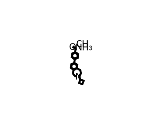 CNC(=O)c1ccc(-c2ccc3c(c2)CCN(C2CCC2)CC3)cc1